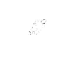 O=C1COc2ccccc2C2CCC(CC2)OCC2[C@@H](NS(=O)(=O)CF)CCCN12